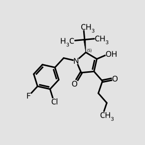 CCCC(=O)C1=C(O)[C@H](C(C)(C)C)N(Cc2ccc(F)c(Cl)c2)C1=O